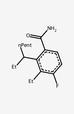 CCCCCC(CC)c1c(C(N)=O)ccc(F)c1CC